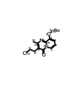 CCCCOc1cccn2c(=O)c(CCCl)c(C)nc12